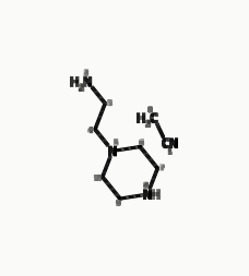 CC#N.NCCN1CCNCC1